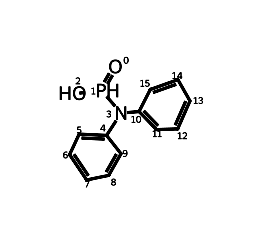 O=[PH](O)N(c1ccccc1)c1ccccc1